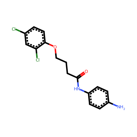 Nc1ccc(NC(=O)CCCOc2ccc(Cl)cc2Cl)cc1